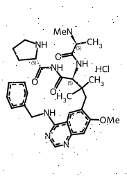 CN[C@@H](C)C(=O)N[C@H](C(=O)NC(=O)[C@@H]1CCCN1)C(C)(C)Cc1cc2c(NCc3ccccc3)ncnc2cc1OC.Cl